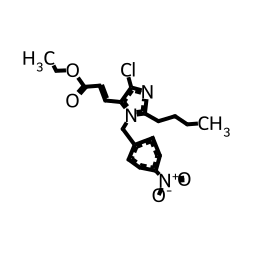 CCCCc1nc(Cl)c(C=CC(=O)OCC)n1Cc1ccc([N+](=O)[O-])cc1